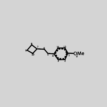 COc1ccc(CCC2CCC2)cc1